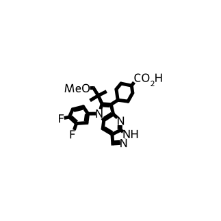 COCC(C)(C)c1c(C2CCC(C(=O)O)CC2)c2nc3[nH]ncc3cc2n1-c1ccc(F)c(F)c1